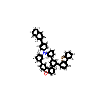 c1cc(-c2cccc(N(c3ccc(-c4ccc5ccccc5c4)cc3)c3cccc(-c4ccc5oc6ccccc6c5c4)c3)c2)cc(-c2cccc3c2sc2ccccc23)c1